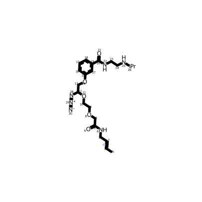 C/C=C/CNC(=O)COCCOC(COc1cccc(C(=O)NCCNC(C)C)c1)N=[N+]=[N-]